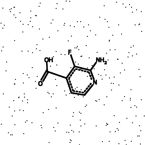 Nc1nccc(C(=O)O)c1F